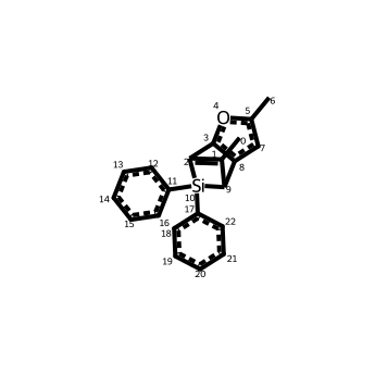 CC1=C2c3oc(C)cc3C1[Si]2(c1ccccc1)c1ccccc1